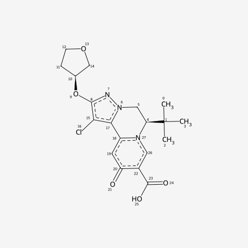 CC(C)(C)[C@@H]1Cn2nc(O[C@H]3CCOC3)c(Cl)c2-c2cc(=O)c(C(=O)O)cn21